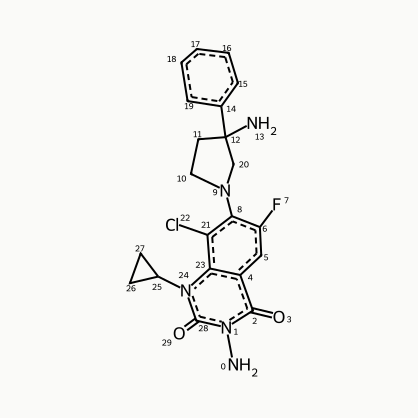 Nn1c(=O)c2cc(F)c(N3CCC(N)(c4ccccc4)C3)c(Cl)c2n(C2CC2)c1=O